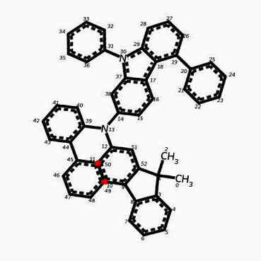 CC1(C)c2ccccc2-c2ccc(N(c3ccc4c5c(-c6ccccc6)cccc5n(-c5ccccc5)c4c3)c3ccccc3-c3ccccc3)cc21